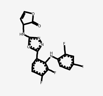 O=C1OC=CC1Nc1nnc(-c2ccc(F)c(F)c2Nc2ccc(I)cc2F)o1